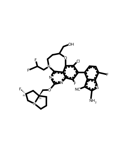 N#Cc1c(N)sc2c(F)ccc(-c3c(Cl)c4c5c(nc(OC[C@@]67CCCN6C[C@H](F)C7)nc5c3F)N(CC(F)F)CCC(CO)O4)c12